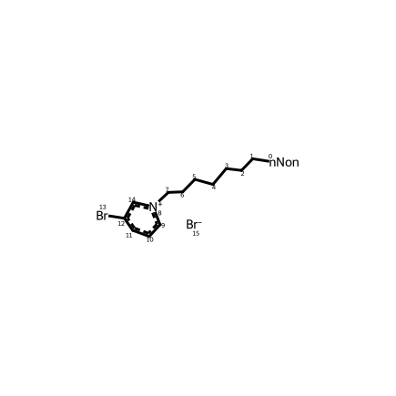 CCCCCCCCCCCCCCCC[n+]1cccc(Br)c1.[Br-]